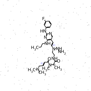 CCCNc1nc(Nc2cccc(F)c2)ncc1/C=C/N(CCNC(=O)[C@H](C)N(C)C(=O)/C=C/CN(C)C)NN